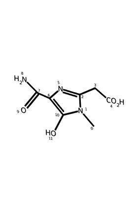 Cn1c(CC(=O)O)nc(C(N)=O)c1O